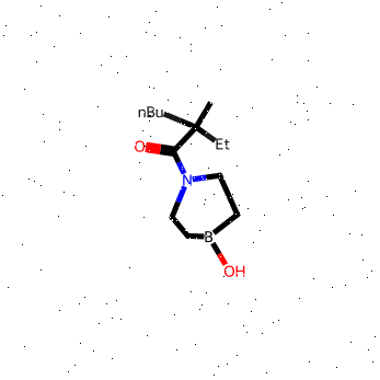 CCCCC(C)(CC)C(=O)N1CCB(O)CC1